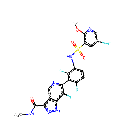 CNC(=O)c1n[nH]c2c(F)c(-c3c(F)ccc(NS(=O)(=O)c4cc(F)cnc4OC)c3F)ncc12